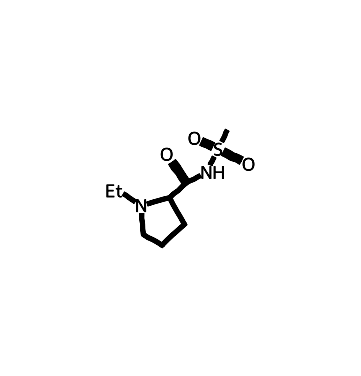 CCN1CCCC1C(=O)NS(C)(=O)=O